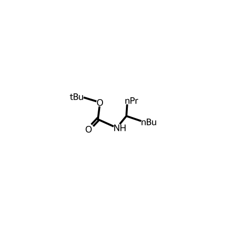 CCCCC(CCC)NC(=O)OC(C)(C)C